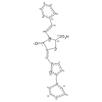 O=C1C(=Cc2ccc(-c3ccccc3)o2)SC(S(=O)(=O)O)N1C=Cc1ccccc1